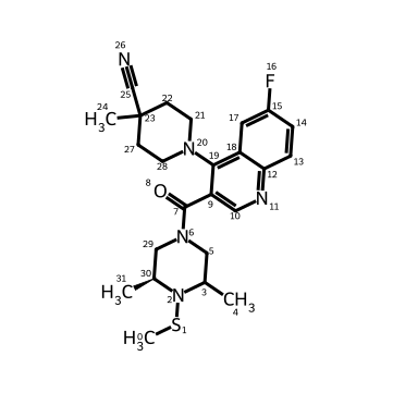 CSN1C(C)CN(C(=O)c2cnc3ccc(F)cc3c2N2CCC(C)(C#N)CC2)C[C@@H]1C